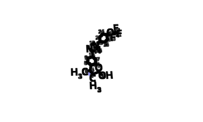 C/C(C(=O)O)=C(\C)c1ccc(-c2ncn(-c3ccc(OC(F)(F)F)cc3)n2)cc1